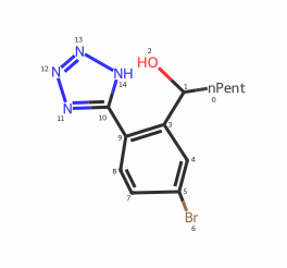 CCCCCC(O)c1cc(Br)ccc1-c1nnn[nH]1